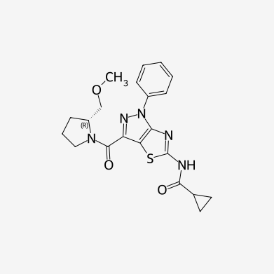 COC[C@H]1CCCN1C(=O)c1nn(-c2ccccc2)c2nc(NC(=O)C3CC3)sc12